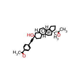 CC(=O)c1ccc(C#C[C@@]2(O)CC[C@@]3(C)[C@@H](CC[C@@H]4[C@@H]3CC[C@]3(C)[C@@H](C(C)=O)CC[C@@H]43)C2)cc1